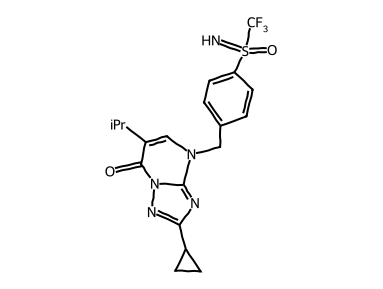 CC(C)c1cn(Cc2ccc(S(=N)(=O)C(F)(F)F)cc2)c2nc(C3CC3)nn2c1=O